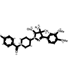 COc1ccc(C2=NN(C3CCN(C(=O)c4ccc([N+](=O)[O-])cc4)CC3)C(C=O)C2(C)C)cc1OC